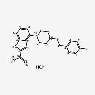 Cc1ccc(CCN2CCN(c3cccc4sc(C(N)=O)cc34)CC2)cc1.Cl